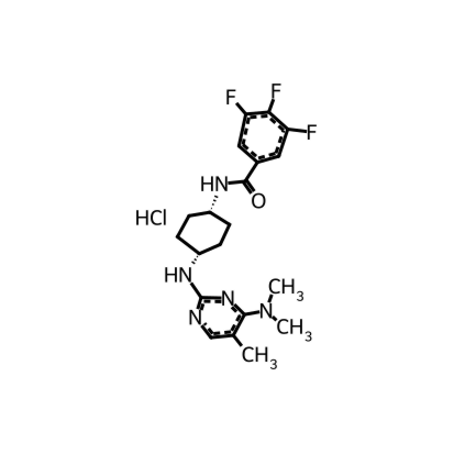 Cc1cnc(N[C@H]2CC[C@@H](NC(=O)c3cc(F)c(F)c(F)c3)CC2)nc1N(C)C.Cl